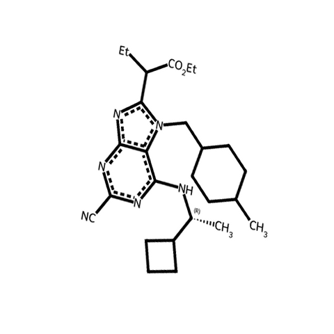 CCOC(=O)C(CC)c1nc2nc(C#N)nc(N[C@H](C)C3CCC3)c2n1CC1CCC(C)CC1